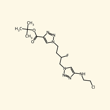 CC(C)(C)OC(=O)c1cn(CCC(F)Cn2cc(NCCCl)nn2)nn1